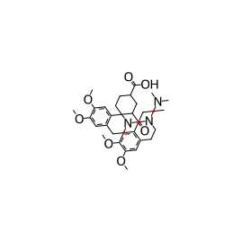 CCN1CCc2cc(OC)c(OC)cc2C1C1CC(C(=O)O)CCC12c1cc(OC)c(OC)cc1CCN2C(=O)CCN(C)C